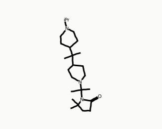 CC(C)N1CCC(C(C)(C)C2CCN(C(C)(C)N3C(=O)CCC3(C)C)CC2)CC1